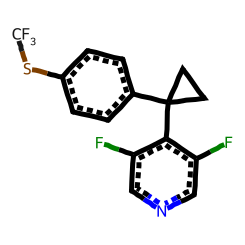 Fc1cncc(F)c1C1(c2ccc(SC(F)(F)F)cc2)CC1